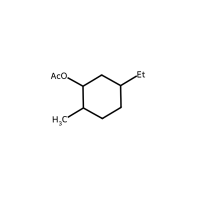 CCC1CCC(C)C(OC(C)=O)C1